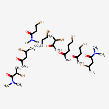 CC(S)C(=O)N(C)C.CC(S)CC(=O)N(C)C.CCN(CC)C(=O)CCS.CCOC(=O)CCS.COC(=O)C(C)S.COC(=O)CC(C)S.COC(=O)CCCS.COC(=O)CCS